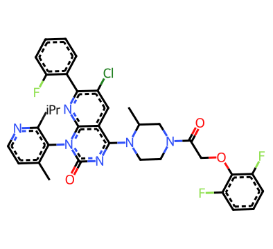 Cc1ccnc(C(C)C)c1-n1c(=O)nc(N2CCN(C(=O)COc3c(F)cccc3F)CC2C)c2cc(Cl)c(-c3ccccc3F)nc21